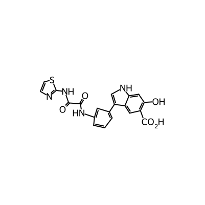 O=C(Nc1cccc(-c2c[nH]c3cc(O)c(C(=O)O)cc23)c1)C(=O)Nc1nccs1